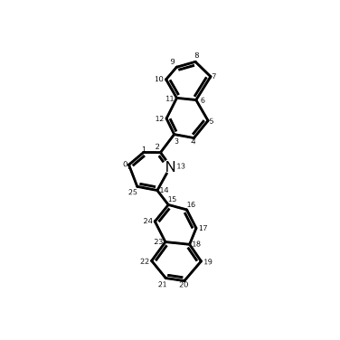 [c]1cc(-c2ccc3ccccc3c2)nc(-c2ccc3ccccc3c2)c1